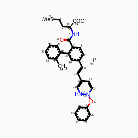 CSCC[C@H](NC(=O)c1ccc(C=CC2=CNN(Oc3ccccc3)C=C2)cc1-c1ccccc1C)C(=O)[O-].[Li+]